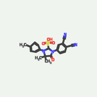 Cc1ccc(N2C(S(=O)(=O)O)N(c3ccc(C#N)c(C#N)c3)C(=O)C2(C)C)cc1